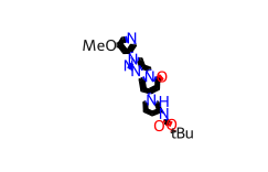 COc1cncc(-n2cc(Cn3ccc(N4CCC[C@@H](NC(=O)OC(C)(C)C)C4)cc3=O)nn2)c1